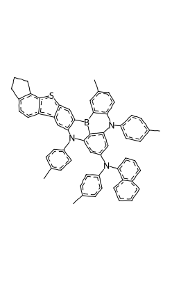 Cc1ccc(N2c3ccc(C)cc3B3c4cc5sc6c7c(ccc6c5cc4N(c4ccc(C)cc4)c4cc(N(c5ccc(C)cc5)c5cccc6ccccc56)cc2c43)CCC7)cc1